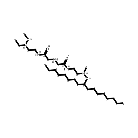 CCCCCCCCC(CCCCCCCC)ON(C)CCNC(=O)CNCC(=O)NCCN(CC)OC